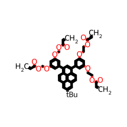 C=CC(=O)OCCOc1cc(OCCOC(=O)C=C)cc(-c2cc(-c3cc(OCOC(=O)C=C)cc(OCOC(=O)C=C)c3)c3ccc4cc(C(C)(C)C)cc5ccc2c3c54)c1